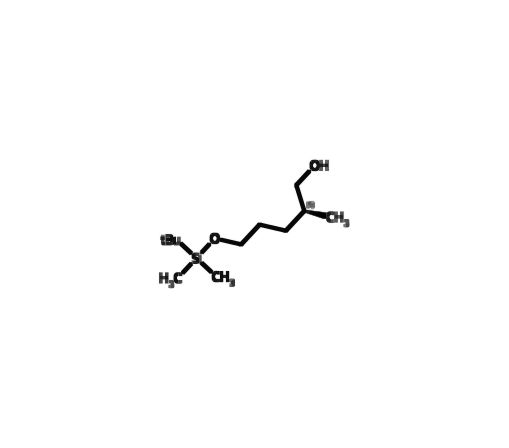 C[C@H](CO)CCCO[Si](C)(C)C(C)(C)C